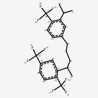 CC(C)c1cc(CCCC(C)c2cc(C(F)(F)F)ccc2C(F)(F)F)ccc1C(F)(F)F